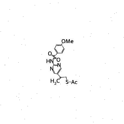 C=C(CSC(C)=O)c1cnc(NS(=O)(=O)c2ccc(OC)cc2)nc1